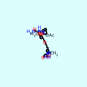 CC(=O)OC1CC(=O)N2c3c(cccc3C[C@H]2C(=O)N[C@@H](CCC(N)=O)[C@@H](C)OCc2ccc(CCCOCCCCCc3ccc4c(c3)n(C)c(=O)n4C3CCC(=O)NC3=O)cc2)C1